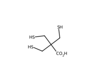 O=C(O)C(CS)(CS)CS